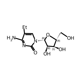 CCc1cn([C@@H]2O[C@H](CO)[C@@H](O)[C@H]2O)c(=O)nc1N